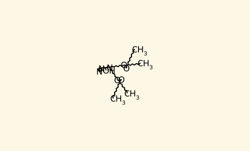 CCCCCCCCC(CCCCCC)C(=O)OCCCCCCN(CCCCCCOC(=O)C(CCCCCC)CCCCCCCC)CC(O)Cn1ccnc1